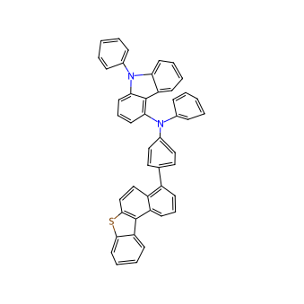 c1ccc(N(c2ccc(-c3cccc4c3ccc3sc5ccccc5c34)cc2)c2cccc3c2c2ccccc2n3-c2ccccc2)cc1